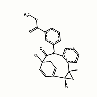 COC(=O)c1cccc(N2C(=O)C3(Cl)C=CC(=CC3)[C@H]3C[C@H]3c3ccccc32)c1